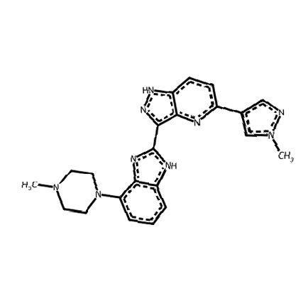 CN1CCN(c2cccc3[nH]c(-c4n[nH]c5ccc(-c6cnn(C)c6)nc45)nc23)CC1